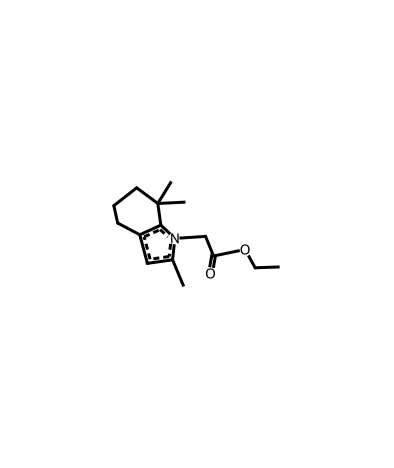 CCOC(=O)Cn1c(C)cc2c1C(C)(C)CCC2